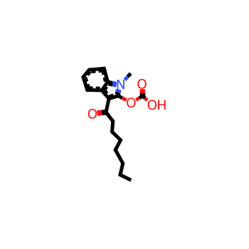 CCCCCCCC(=O)c1c(OC(=O)O)n(C)c2ccccc12